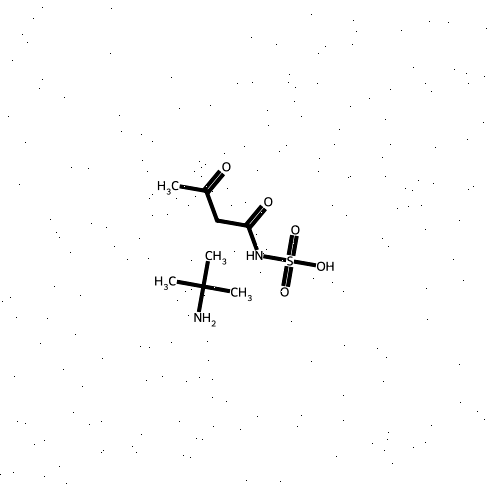 CC(=O)CC(=O)NS(=O)(=O)O.CC(C)(C)N